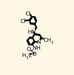 Cc1cc(NCc2ccc(Cl)c(Cl)c2)c2cccc(NS(C)(=O)=O)c2n1